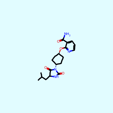 CC(C)CC1NC(=O)N([C@H]2CC[C@H](Oc3ncccc3C(N)=O)CC2)C1=O